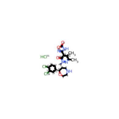 Cc1nn(C[C@@H]2CNCCO[C@H]2c2ccc(Cl)c(Cl)c2)c(=O)c(-c2noc(=O)[nH]2)c1C.Cl